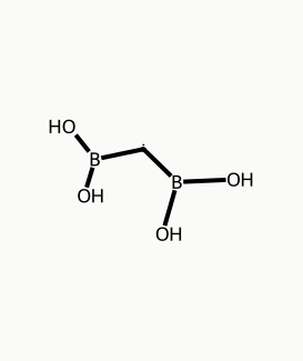 OB(O)[CH]B(O)O